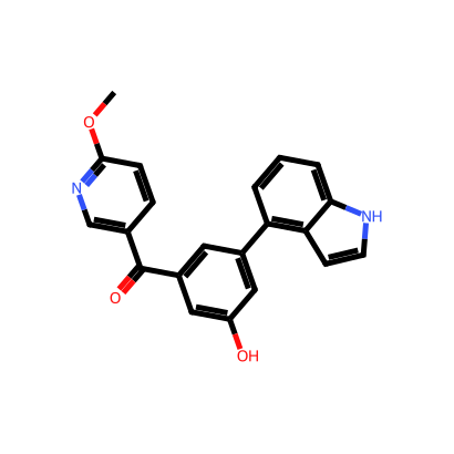 COc1ccc(C(=O)c2cc(O)cc(-c3cccc4[nH]ccc34)c2)cn1